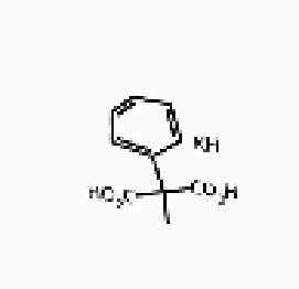 CC(C(=O)O)(C(=O)O)c1ccccc1.[KH]